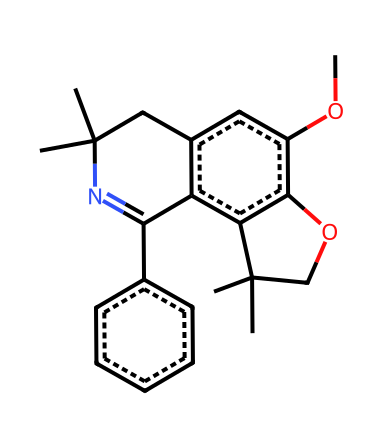 COc1cc2c(c3c1OCC3(C)C)C(c1ccccc1)=NC(C)(C)C2